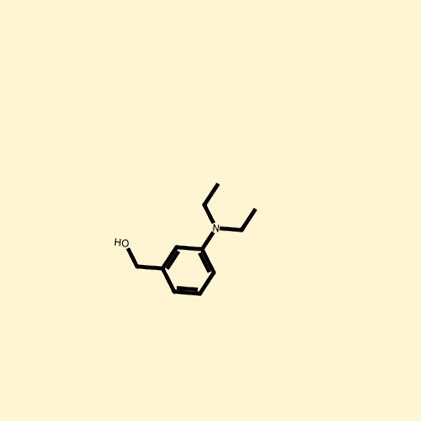 CCN(CC)c1cccc(CO)c1